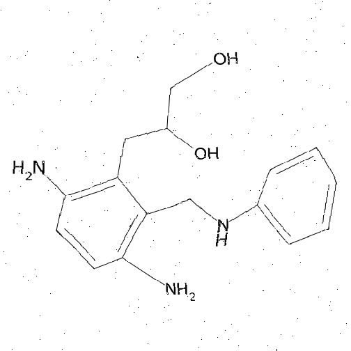 Nc1ccc(N)c(CC(O)CO)c1CNc1ccccc1